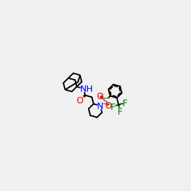 O=C(CC1CCCCN1S(=O)(=O)c1ccccc1C(F)(F)F)NC12CC3CC(CC(C3)C1)C2